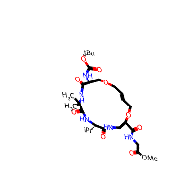 COC(=O)CNC(=O)C1CNC(=O)[C@H](C(C)C)NC(=O)C(C)(C)NC(=O)[C@@H](NC(=O)OC(C)(C)C)COC/C=C/CO1